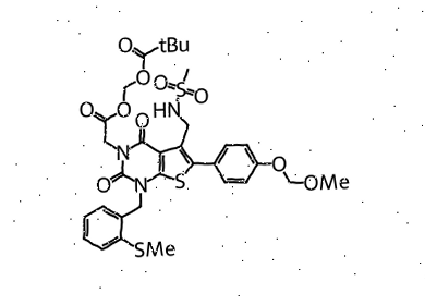 COCOc1ccc(-c2sc3c(c2CNS(C)(=O)=O)c(=O)n(CC(=O)OCOC(=O)C(C)(C)C)c(=O)n3Cc2ccccc2SC)cc1